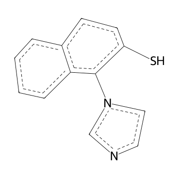 Sc1ccc2ccccc2c1-n1ccnc1